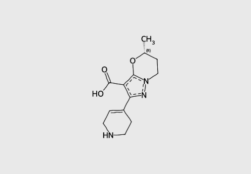 C[C@@H]1CCn2nc(C3=CCNCC3)c(C(=O)O)c2O1